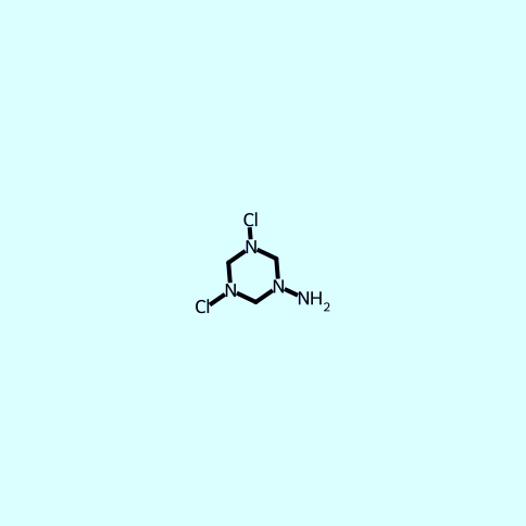 NN1CN(Cl)CN(Cl)C1